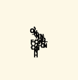 C=CC(=O)N1CC2CN(C)c3c(c4cc(F)c(-c5c(C)ccc6[nH]cnc56)c(F)c4n(-c4c(C)ccnc4C(C)C)c3=O)N2CC1C